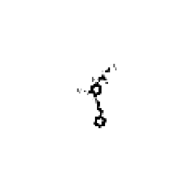 CCOC(=O)Nc1ccc(OCCCc2cc[c]cc2)c(OC)c1